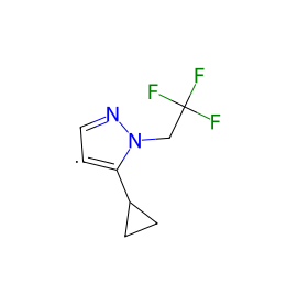 FC(F)(F)Cn1nc[c]c1C1CC1